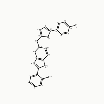 Fc1ccccc1-c1nc2c([nH]1)C=NN(Cc1ncc(-c3ccc(Cl)cc3)o1)C2